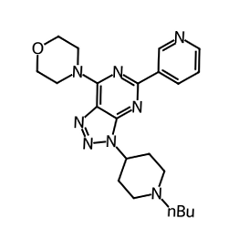 CCCCN1CCC(n2nnc3c(N4CCOCC4)nc(-c4cccnc4)nc32)CC1